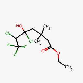 CCOC(=O)CC(C)(C)CC(O)(Cl)C(Cl)C(F)(F)F